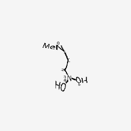 CNCCN(O)O